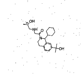 C[C@@H](O)CNCC(=O)N1CCc2ccc(C(C)(C)O)cc2C1C1CCCCC1